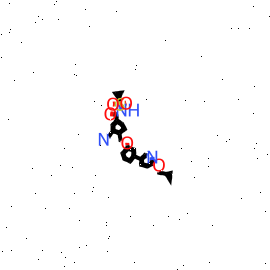 N#Cc1cc(C(=O)NS(=O)(=O)C2CC2)ccc1COc1cccc(-c2ccc(OCC3CC3)nc2)c1